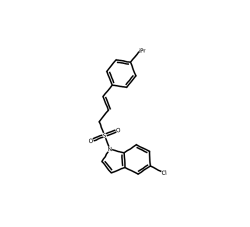 CC(C)c1ccc(C=CCS(=O)(=O)n2ccc3cc(Cl)ccc32)cc1